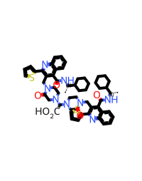 C[C@H](NC(=O)c1c(CN2CCN(C(C(=O)O)N3CCN(Cc4c(-c5cccs5)nc5ccccc5c4C(=O)N[C@@H](C)C4CCCCC4)C(=O)C3)CC2=O)c(-c2cccs2)nc2ccccc12)C1CCCCC1